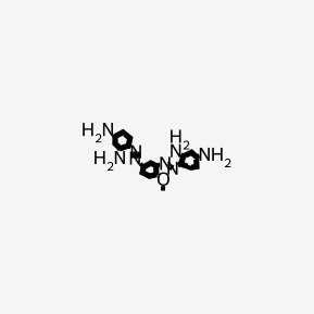 COc1ccc(N=Nc2ccc(N)cc2N)cc1N=Nc1ccc(N)cc1N